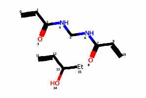 C=CC(=O)NCNC(=O)C=C.C=CC(O)CC